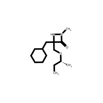 CC[C@@H](C)OCC1(CC2CCCCC2)NN(C)C1=O